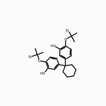 CCC(C)(C)Oc1ccc(C2(c3ccc(OC(C)(C)CC)c(O)c3)CCCCC2)cc1O